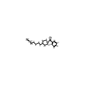 [N-]=[N+]=NCCCCC1CCN(C(=O)c2ccccc2)CC1